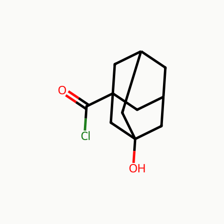 O=C(Cl)C12CC3CC(CC(O)(C3)C1)C2